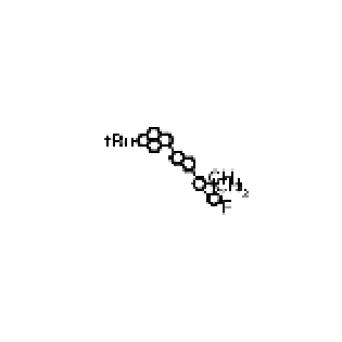 CC(C)(C)c1cc2ccc3ccc(-c4ccc5cc(-c6ccc7c(c6)C(C)(C)c6cc(F)ccc6-7)ccc5c4)c4ccc(c1)c2c34